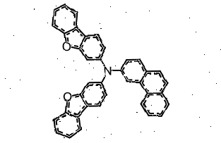 c1ccc2c(c1)ccc1ccc(N(c3ccc4c(c3)oc3ccccc34)c3ccc4c(c3)oc3ccccc34)cc12